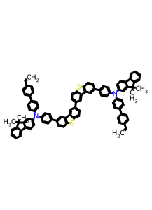 C=Cc1ccc(-c2ccc(N(c3ccc(-c4ccc5sc6ccc(-c7ccc8sc9ccc(-c%10ccc(N(c%11ccc(-c%12ccc(C=C)cc%12)cc%11)c%11ccc%12c(c%11)C(C)(C)c%11ccccc%11-%12)cc%10)cc9c8c7)cc6c5c4)cc3)c3ccc4c(c3)C(C)(C)c3ccccc3-4)cc2)cc1